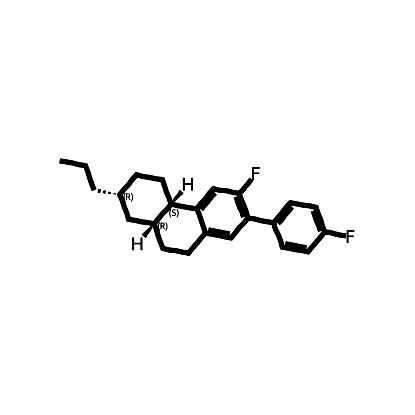 CCC[C@@H]1CC[C@@H]2c3cc(F)c(-c4ccc(F)cc4)cc3CC[C@@H]2C1